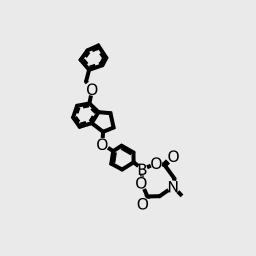 CN1CC(=O)OB(C2C=CC(OC3CCc4c(OCc5ccccc5)cccc43)=CC2)OC(=O)C1